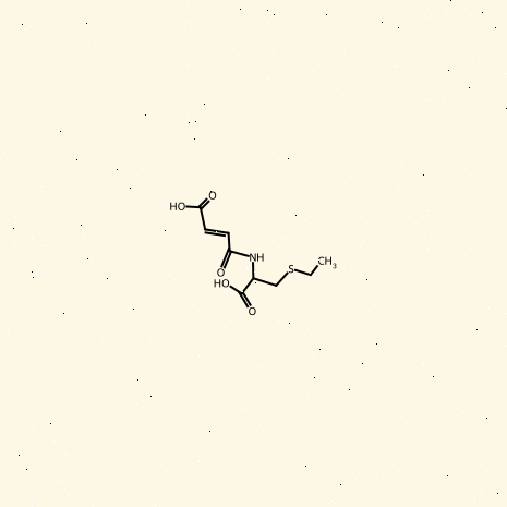 CCSCC(NC(=O)C=CC(=O)O)C(=O)O